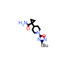 CC(C)(C)c1noc(N2CCC(C3(C(N)=O)CC3)CC2)n1